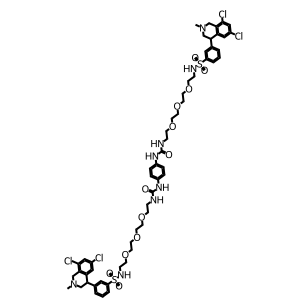 CN1Cc2c(Cl)cc(Cl)cc2C(c2cccc(S(=O)(=O)NCCOCCOCCOCCNC(=O)Nc3ccc(NC(=O)NCCOCCOCCOCCNS(=O)(=O)c4cccc(C5CN(C)Cc6c(Cl)cc(Cl)cc65)c4)cc3)c2)C1